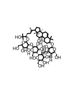 C[C@H](CC[C@@H](O[C@@H]1O[C@H](CO)[C@@H](O)[C@H](O)[C@H]1O[C@@H]1O[C@H](CO)[C@@H](C2O[C@H](CO)[C@@H](O)[C@H](O)[C@H]2O)[C@H](O)[C@H]1O)C(C)(C)O)C1CC[C@@]2(C)C3CC=C4C(CC[C@H](O[C@@H]5O[C@H](CO)[C@@H](O)[C@H](O)[C@H]5O)C4(C)C)[C@]3(C)[C@H](O)C[C@]12C